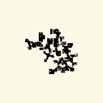 CC(C)(C)C(C(=O)N1CC(O)CC1C(=O)NC1CC12CCC1C=C(Br)C=CC12)N(N)CC(N)C1CC1